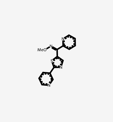 CO/N=C(/c1ccccn1)c1cnc(-c2cccnc2)s1